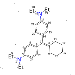 CCN(CC)c1ccc(C(=C2CCCCC2)c2ccc(N(CC)CC)cc2)cc1